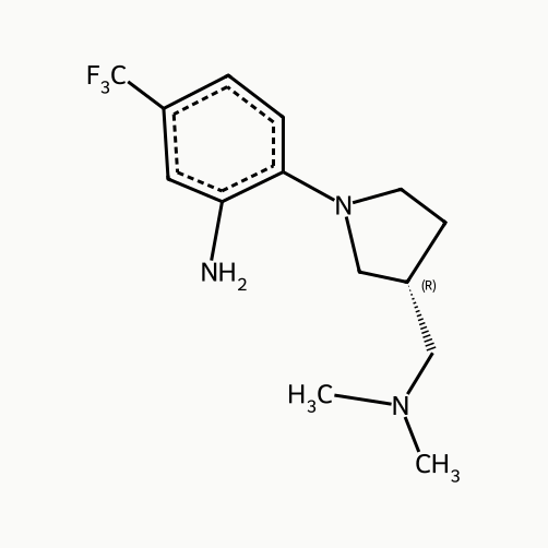 CN(C)C[C@H]1CCN(c2ccc(C(F)(F)F)cc2N)C1